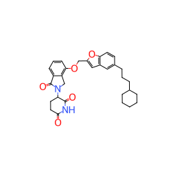 O=C1CCC(N2Cc3c(OCc4cc5cc(CCCC6CCCCC6)ccc5o4)cccc3C2=O)C(=O)N1